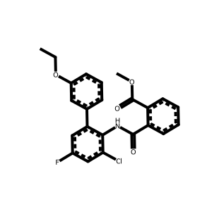 CCOc1cccc(-c2cc(F)cc(Cl)c2NC(=O)c2ccccc2C(=O)OC)c1